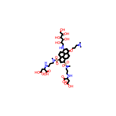 CN(C)CCCOc1cc(NC[C@H](O)[C@@H](O)[C@H](O)[C@H](O)CO)c2ccc3c(S(=O)(=O)N(C)CCCNC(CC(=O)O)C(=O)O)cc(S(=O)(=O)N(C)CCCNC(CC(=O)O)C(=O)O)c4ccc1c2c34